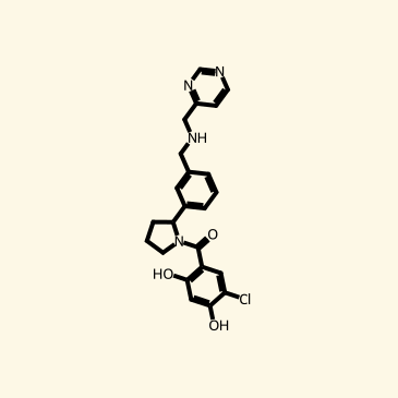 O=C(c1cc(Cl)c(O)cc1O)N1CCCC1c1cccc(CNCc2ccncn2)c1